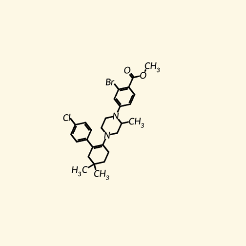 COC(=O)c1ccc(N2CCN(C3=C(c4ccc(Cl)cc4)CC(C)(C)CC3)CC2C)cc1Br